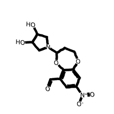 O=Cc1cc([N+](=O)[O-])cc2c1OC(N1CC(O)C(O)C1)CCO2